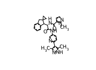 Cc1n[nH]c(C)c1-c1ccc(NC(=O)[C@@H](NC(=O)c2ccnn2C)C2c3ccccc3CC23CC3)cn1